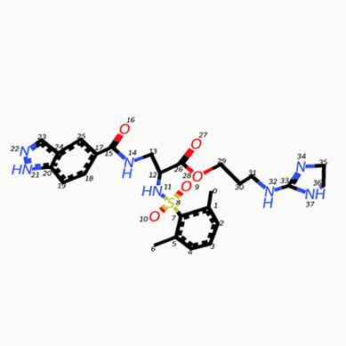 Cc1cccc(C)c1S(=O)(=O)NC(CNC(=O)c1ccc2[nH]ncc2c1)C(=O)OCCCNC1=NCCN1